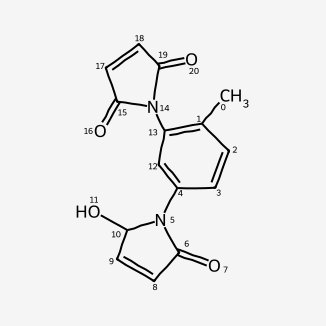 Cc1ccc(N2C(=O)C=CC2O)cc1N1C(=O)C=CC1=O